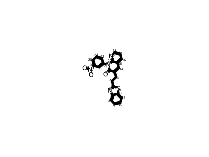 O=c1c(CCc2nc3ccccc3s2)cc2cccnc2n1-c1cccc([N+](=O)[O-])c1